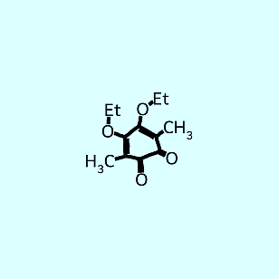 CCOC1=C(C)C(=O)C(=O)C(C)=C1OCC